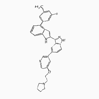 Cc1cc(F)cc(-c2cccc3[nH]c(-c4n[nH]c5ccc(-c6cncc(OCCN7CCCC7)c6)cc45)cc23)c1